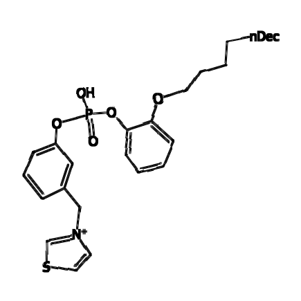 CCCCCCCCCCCCCCOc1ccccc1OP(=O)(O)Oc1cccc(C[n+]2ccsc2)c1